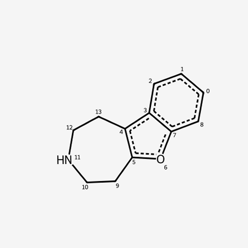 c1ccc2c3c(oc2c1)CCNCC3